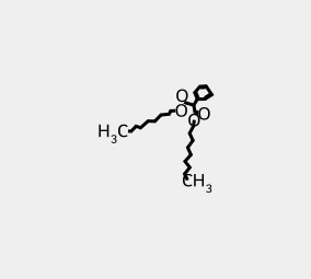 CCCCCCCCCOC(=O)C(C(=O)OCCCCCCCCC)c1ccccc1